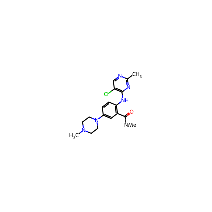 CNC(=O)c1cc(N2CCN(C)CC2)ccc1Nc1nc(C)ncc1Cl